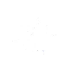 Nc1ccc(C(=O)O)c(S(=O)(=O)O)c1.Nc1ccc(C(=O)O)c(S(=O)(=O)O)c1